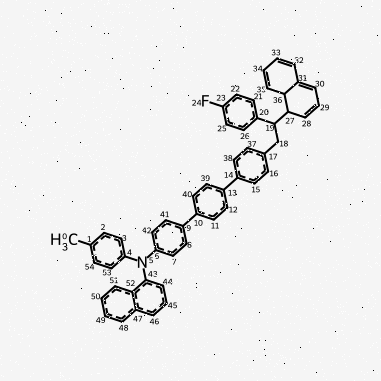 Cc1ccc(N(c2ccc(-c3ccc(-c4ccc(CC(c5ccc(F)cc5)C5C=CC=C6C=CC=CC65)cc4)cc3)cc2)c2cccc3ccccc23)cc1